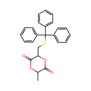 CC1OC(=O)C(CSC(c2ccccc2)(c2ccccc2)c2ccccc2)OC1=O